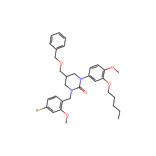 CCCCCOc1cc(N2CC(COCc3ccccc3)CN(Cc3ccc(Br)cc3OC)C2=O)ccc1OC